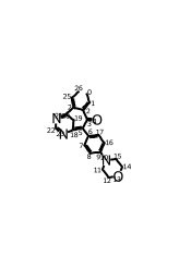 C/C=C1/C(=O)C(c2ccc(N3CCOCC3)cc2)=C2CC(=NC=N2)/C1=C/C